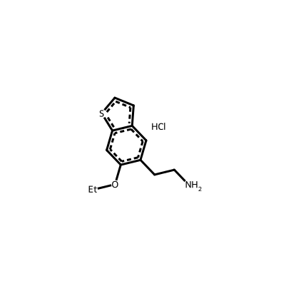 CCOc1cc2sccc2cc1CCN.Cl